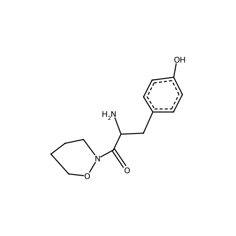 NC(Cc1ccc(O)cc1)C(=O)N1CCCCO1